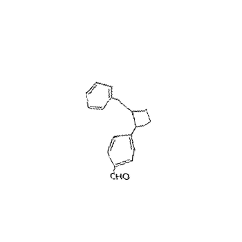 O=Cc1ccc(C2CCC2c2ccccc2)cc1